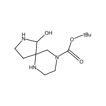 CC(C)(C)OC(=O)N1CCNC2(CCNC2O)C1